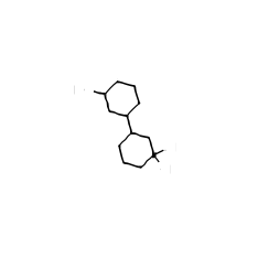 CC1[CH]CCC(C2C[CH]CC(C)(C)C2)C1